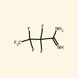 N=C(N)C(F)(F)C(F)(F)C(F)(F)F